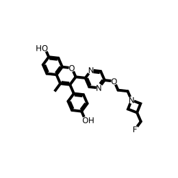 CC1=C(c2ccc(O)cc2)C(c2cnc(OCCN3CC(CF)C3)cn2)Oc2cc(O)ccc21